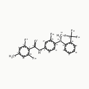 Cc1cc(F)c(C(=O)Nc2ccc(N(C)c3ccccc3C(F)(F)F)c(F)c2)c(F)c1